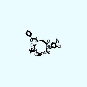 COc1ccc(C[C@H]2NC(=O)/C=C/C[C@@H]([C@H](C)[C@H]3O[C@@H]3c3ccccc3)OC(=O)[C@H](CC(C)(C)C)NC(=O)C3(CC3)CNC2=O)cc1Cl